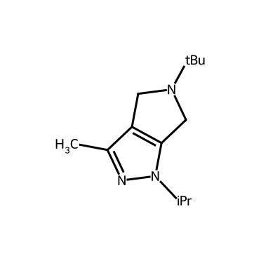 Cc1nn(C(C)C)c2c1CN(C(C)(C)C)C2